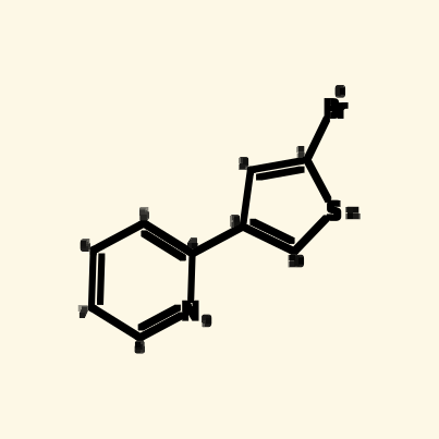 Brc1cc(-c2ccccn2)cs1